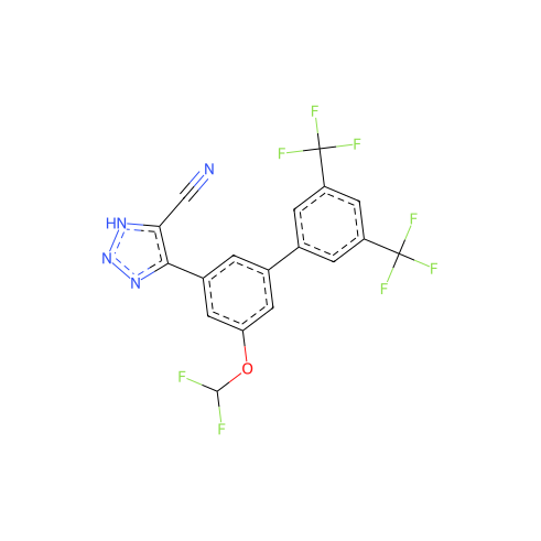 N#Cc1[nH]nnc1-c1cc(OC(F)F)cc(-c2cc(C(F)(F)F)cc(C(F)(F)F)c2)c1